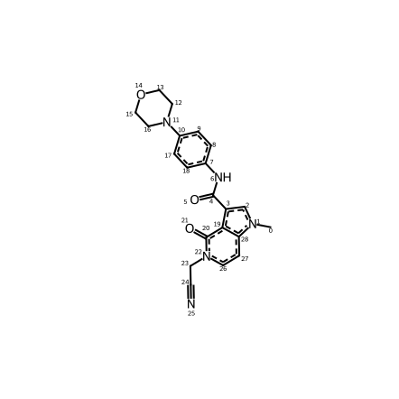 Cn1cc(C(=O)Nc2ccc(N3CCOCC3)cc2)c2c(=O)n(CC#N)ccc21